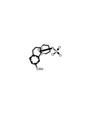 COc1ccc2c(c1)[C@@]13CCCC[C@]1(CC2)OC(=NS(=O)(=O)Cl)C3